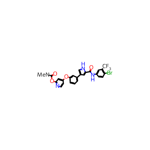 CNC(=O)Oc1cc(Oc2cccc(-c3c[nH]c(C(=O)Nc4ccc(Br)c(C(F)(F)F)c4)c3)c2)ccn1